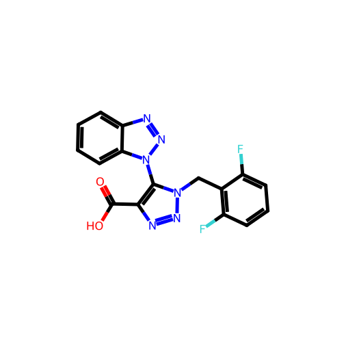 O=C(O)c1nnn(Cc2c(F)cccc2F)c1-n1nnc2ccccc21